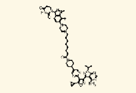 CC(C)n1nc(-c2noc(C3CC3)c2-c2ncc(C3CCN(C(=O)CCCCCCCN4CCN(c5ccc6c(N7CCC(=O)NC7=O)nn(C)c6c5F)CC4)CC3)cn2)c2c(N)ncnc21